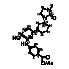 COC(=O)c1ccc(Nc2nc(N3CCC[C@@H](N4CCN(C)C4=O)C3)cnc2C#N)cc1